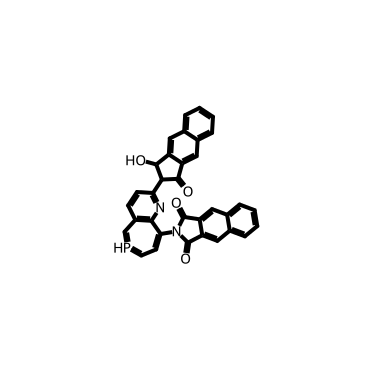 O=C1c2cc3ccccc3cc2C(O)C1c1ccc2c(n1)C(N1C(=O)c3cc4ccccc4cc3C1=O)=CC=[PH]=C2